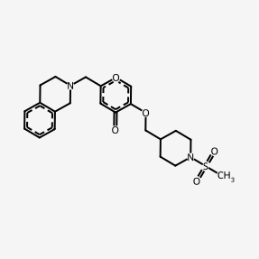 CS(=O)(=O)N1CCC(COc2coc(CN3CCc4ccccc4C3)cc2=O)CC1